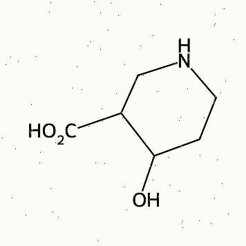 O=C(O)C1CNCCC1O